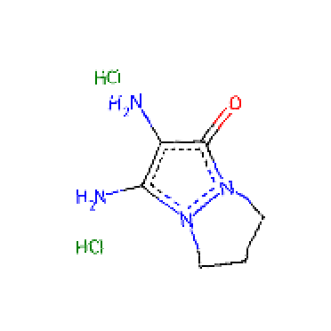 Cl.Cl.Nc1c(N)n2n(c1=O)CCC2